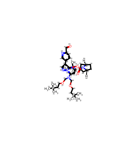 CC(C)(C)OC(=O)N1[C@@H]2CC[C@H]1C[C@@H](c1cc(N(COCC[Si](C)(C)C)COCC[Si](C)(C)C)n3ncc(-c4ccc(C=O)nc4)c3n1)C2